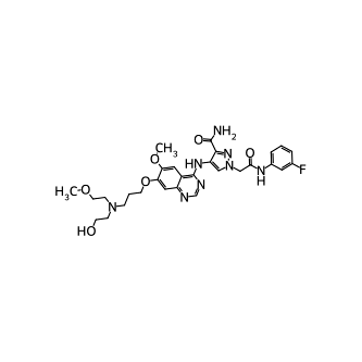 COCCN(CCO)CCCOc1cc2ncnc(Nc3cn(CC(=O)Nc4cccc(F)c4)nc3C(N)=O)c2cc1OC